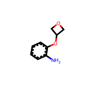 Nc1ccccc1OC1COC1